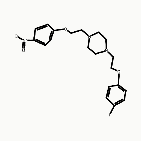 O=[N+]([O-])c1ccc(OCCN2CCN(CCOc3ccc(I)cc3)CC2)cc1